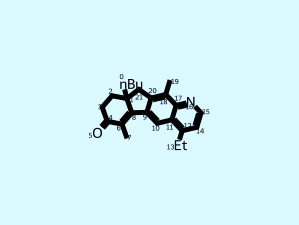 CCCCC12CCC(=O)C(C)=C1c1cc3c(CC)ccnc3c(C)c1C2